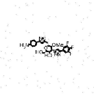 CO[C@@H]1[C@@H](n2cc(-c3cc(F)c(F)c(F)c3)nn2)[C@@H](O)[C@@H](CO)O[C@@H]1Cc1cc(C2CCC(N)CC2)no1